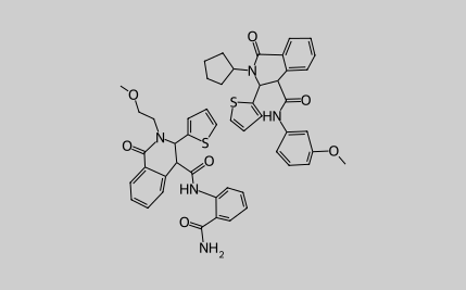 COCCN1C(=O)c2ccccc2C(C(=O)Nc2ccccc2C(N)=O)C1c1cccs1.COc1cccc(NC(=O)C2c3ccccc3C(=O)N(C3CCCC3)C2c2cccs2)c1